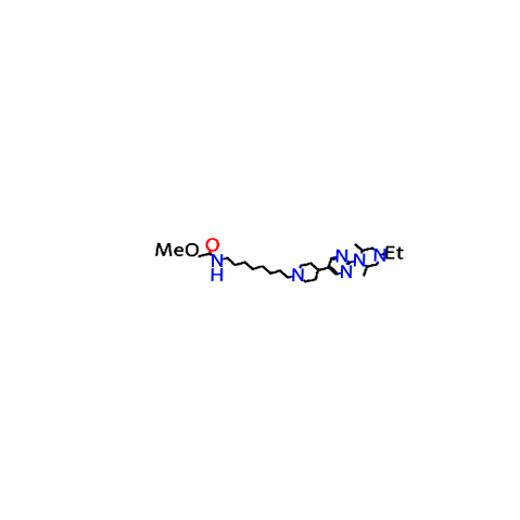 CCN1CC(C)N(c2ncc(C3CCN(CCCCCCCCNC(=O)COC)CC3)cn2)C(C)C1